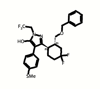 CSc1ccc(-c2c([C@@H]3CCC(F)(F)C[C@H]3COCc3ccccc3)nn(CC(F)(F)F)c2O)cc1